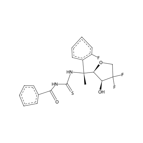 C[C@@](NC(=S)NC(=O)c1ccccc1)(c1ccccc1F)[C@H]1OCC(F)(F)[C@H]1O